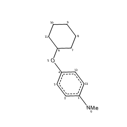 CNc1ccc(OC2CCCCC2)cc1